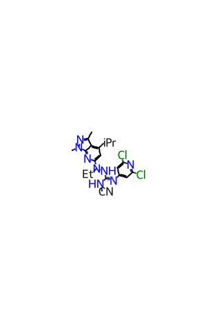 CCN(N/C(=N\c1cc(Cl)nc(Cl)c1)NC#N)c1cc(C(C)C)c2c(C)nn(C)c2n1